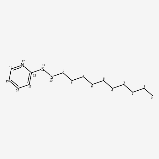 CCCCCCCCCCSSc1ccccn1